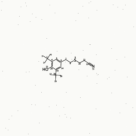 CC(C)(C)c1cc(CCSCCC#N)cc(C(C)(C)C)c1O